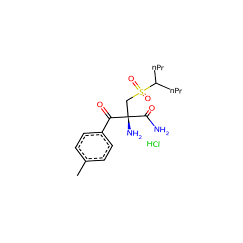 CCCC(CCC)S(=O)(=O)C[C@](N)(C(N)=O)C(=O)c1ccc(C)cc1.Cl